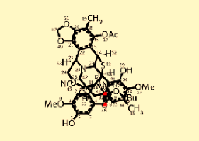 COc1cc2c(cc1O)CCN[C@]21CS[C@@H]2c3c(OC(C)=O)c(C)c4c(c3[C@H](COC1=O)N1C2[C@H]2c3c(cc(C)c(OC)c3O)C[C@@H]([C@@H]1C#N)N2C(=O)OC(C)(C)C)OCO4